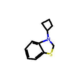 c1ccc2c(c1)SCN2C1CCC1